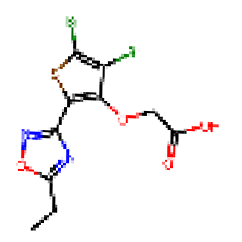 CCc1nc(-c2sc(Br)c(Br)c2OCC(=O)O)no1